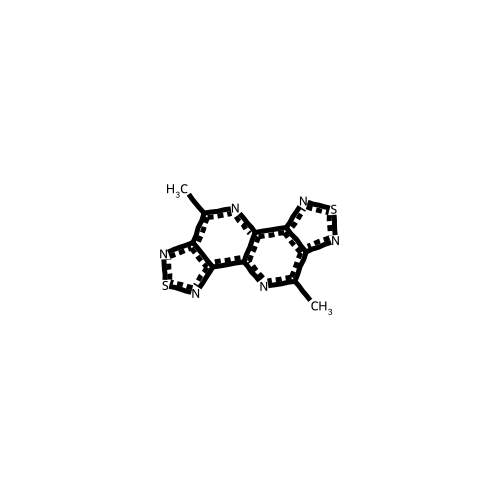 Cc1nc2c3nsnc3c(C)nc2c2nsnc12